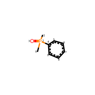 CP(C)(=O)c1ccccc1